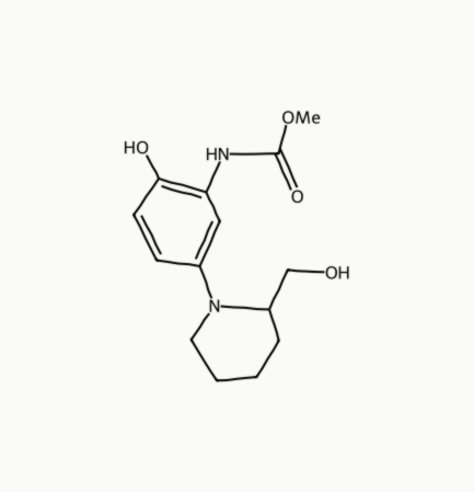 COC(=O)Nc1cc(N2CCCCC2CO)ccc1O